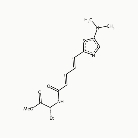 CC[C@@H](NC(=O)/C=C/C=C/c1ncc(N(C)C)s1)C(=O)OC